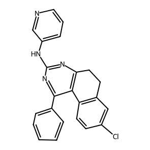 Clc1ccc2c(c1)CCc1nc(Nc3cccnc3)nc(-c3ccccc3)c1-2